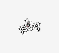 C=Cc1cccc(-c2ccc3c(c2)C2(c4ccccc4-3)c3ccccc3-c3ccc(N(c4ccc(-c5ccccc5)cc4)c4cccc(-c5ccc6c7ccccc7n(-c7ccccc7)c6c5)c4)cc32)c1